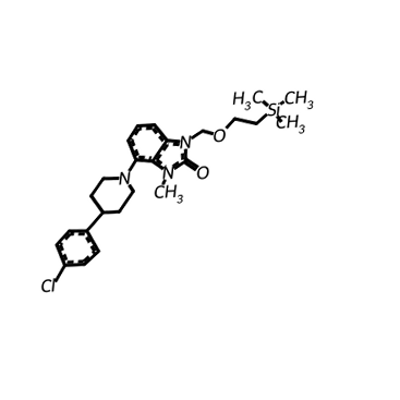 Cn1c(=O)n(COCC[Si](C)(C)C)c2cccc(N3CCC(c4ccc(Cl)cc4)CC3)c21